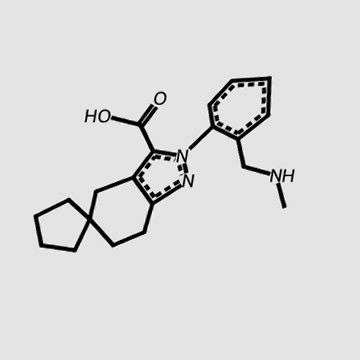 CNCc1ccccc1-n1nc2c(c1C(=O)O)CC1(CCCC1)CC2